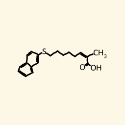 CC(=CCCCCCSc1ccc2ccccc2c1)C(=O)O